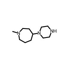 CN1CCCC(N2CCNCC2)CC1